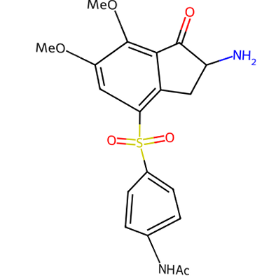 COc1cc(S(=O)(=O)c2ccc(NC(C)=O)cc2)c2c(c1OC)C(=O)C(N)C2